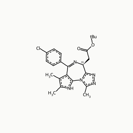 Cc1[nH]c2c(c1C)C(c1ccc(Cl)cc1)=N[C@@H](CC(=O)OC(C)(C)C)c1nnc(C)n1-2